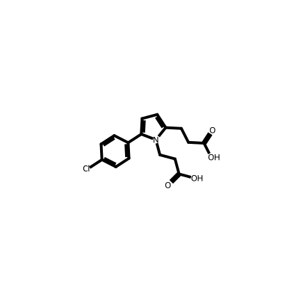 O=C(O)CCc1ccc(-c2ccc(Cl)cc2)n1CCC(=O)O